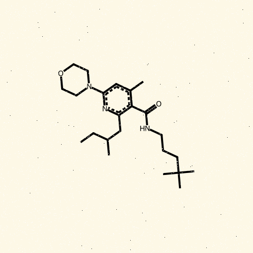 CCC(C)Cc1nc(N2CCOCC2)cc(C)c1C(=O)NCCCC(C)(C)C